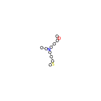 c1ccc(-c2ccc(N(c3ccc(-c4ccc(-c5ccc6oc7ccccc7c6c5)cc4)cc3)c3ccc(-c4ccc(-c5ccc6sc7ccccc7c6c5)cc4)cc3)cc2)cc1